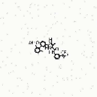 COc1ccc(C2NC(C)=C(C(=O)Nc3cccc(C4(C(F)(F)F)CC4)c3)N2)cc1-c1c(C)cccc1C